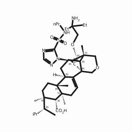 CCCNS(=O)(=O)c1ncnn1[C@@H]1C[C@@]23COC[C@](C)([C@@H]2CC[C@H]2C3=CC[C@@]3(C)[C@H](C(=O)O)[C@@](C)([C@H](C)C(C)C)CC[C@]23C)[C@H]1OCC(N)(CC)CC